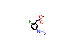 COC(=O)Cc1cc(N)ccc1F